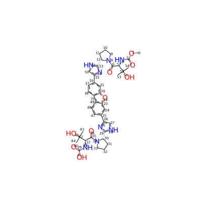 COC(=O)N[C@H](C(=O)N1CCC[C@H]1c1nc(-c2ccc3c(c2)oc2cc(-c4c[nH]c([C@@H]5CCCN5C(=O)[C@@H](NC(=O)O)C(C)(C)O)n4)ccc23)c[nH]1)C(C)(C)O